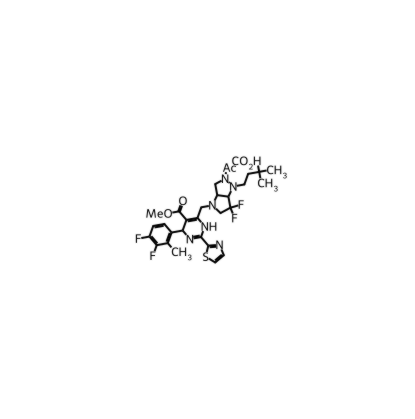 COC(=O)C1=C(CN2CC(F)(F)C3C2CN(C(C)=O)N3CCC(C)(C)C(=O)O)NC(c2nccs2)=NC1c1ccc(F)c(F)c1C